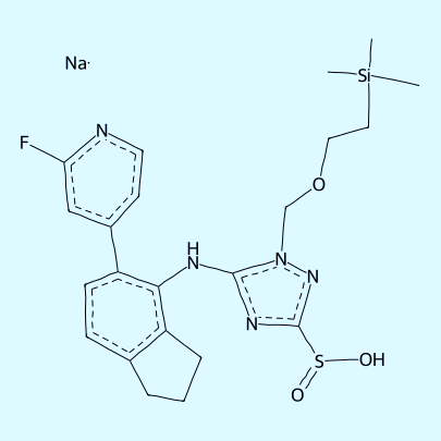 C[Si](C)(C)CCOCn1nc(S(=O)O)nc1Nc1c(-c2ccnc(F)c2)ccc2c1CCC2.[Na]